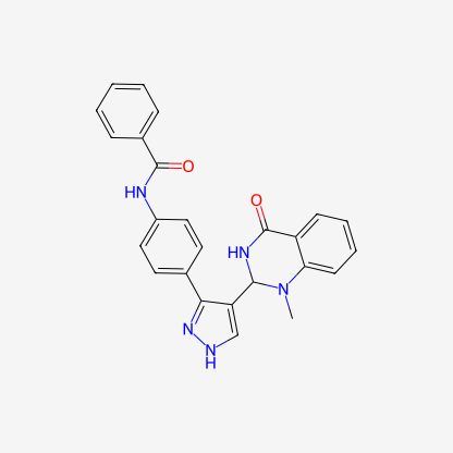 CN1c2ccccc2C(=O)NC1c1c[nH]nc1-c1ccc(NC(=O)c2ccccc2)cc1